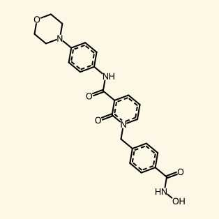 O=C(NO)c1ccc(Cn2cccc(C(=O)Nc3ccc(N4CCOCC4)cc3)c2=O)cc1